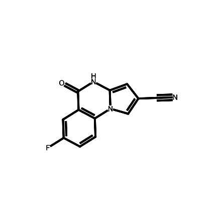 N#Cc1cc2[nH]c(=O)c3cc(F)ccc3n2c1